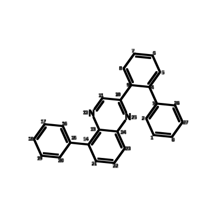 c1ccc(-c2ccccc2-c2cnc3c(-c4ccccc4)cccc3n2)cc1